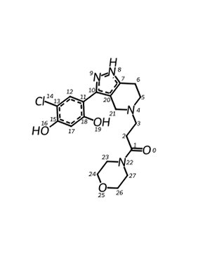 O=C(CCN1CCc2[nH]nc(-c3cc(Cl)c(O)cc3O)c2C1)N1CCOCC1